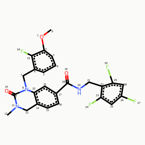 COc1cccc(CN2C(=O)N(C)Cc3ccc(C(=O)NCc4c(F)cc(F)cc4F)cc32)c1F